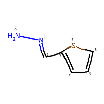 NN=Cc1cccs1